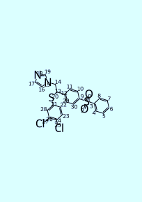 O=S(=O)(c1ccccc1)c1ccc(C(Cn2ccnc2)Sc2ccc(Cl)c(Cl)c2)cc1